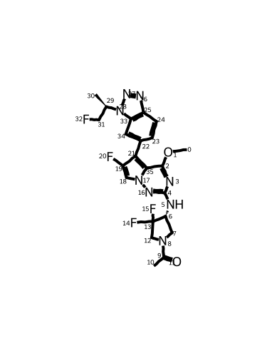 COc1nc(N[C@@H]2CN(C(C)=O)CC2(F)F)nn2cc(F)c(-c3ccc4nnn([C@H](C)CF)c4c3)c12